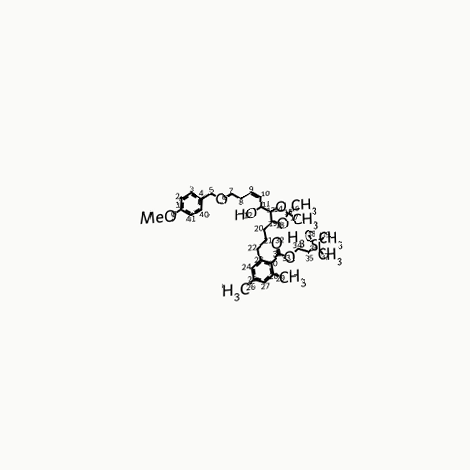 COc1ccc(COCC/C=C\C(O)C2OC(C)(C)O[C@H]2CCCc2cc(C)cc(C)c2C(=O)OCC[Si](C)(C)C)cc1